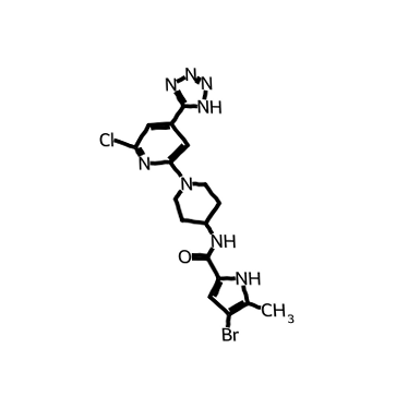 Cc1[nH]c(C(=O)NC2CCN(c3cc(-c4nnn[nH]4)cc(Cl)n3)CC2)cc1Br